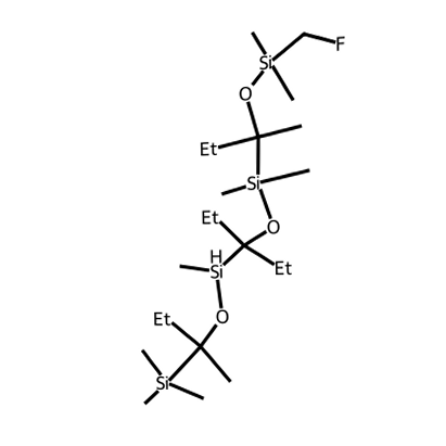 CCC(CC)(O[Si](C)(C)C(C)(CC)O[Si](C)(C)CF)[SiH](C)OC(C)(CC)[Si](C)(C)C